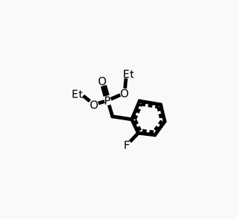 CCOP(=O)(Cc1ccccc1F)OCC